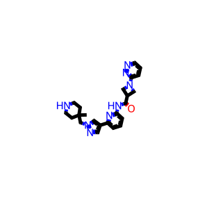 CC1(Cn2cc(-c3cccc(NC(=O)C4CN(c5cccnn5)C4)n3)cn2)CCNCC1